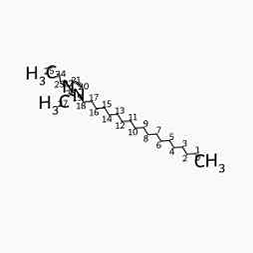 CCCCCCCCCCCCCCCCCCCN1C=CN(CCC)C1C